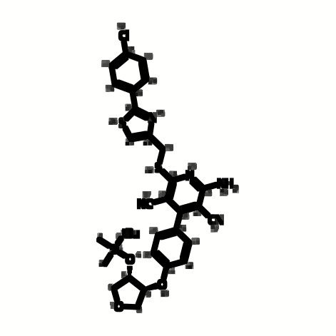 CC(C)(C)[Si](C)(C)O[C@H]1COC[C@@H]1Oc1ccc(-c2c(C#N)c(N)nc(SCc3csc(-c4ccc(Cl)cc4)n3)c2C#N)cc1